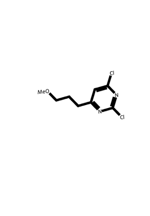 COCCCc1cc(Cl)nc(Cl)n1